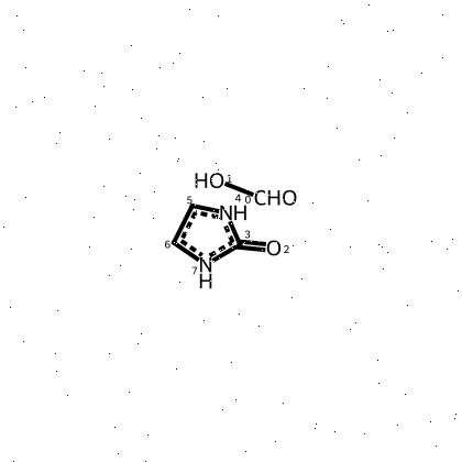 O=CO.O=c1[nH]cc[nH]1